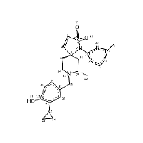 Cc1cccc(N2[C@]3(C=CS2(=O)=O)CCN(Cc2ccc(O)c(C4CC4)c2)[C@@H](C)C3)n1